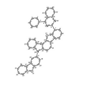 c1ccc(-c2nc(-c3cccc4c3oc3c4ccc4c3c3ccccc3n4-c3ccc4oc5ccccc5c4c3)nc3ccccc23)cc1